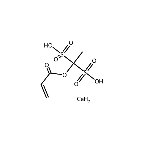 C=CC(=O)OC(C)(S(=O)(=O)O)S(=O)(=O)O.[CaH2]